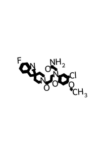 CCOc1cc2c(cc1Cl)N(CC(N)=O)CC(C(=O)N1CCC(C#N)(Cc3ccc(F)cc3)CC1)O2